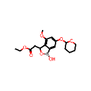 CCOC(=O)CC1OB(O)c2cc(OC3CCCCO3)cc(OC)c21